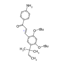 C=CC(C)(C)c1cc(/C=C/C(=O)c2ccc(N)cc2)c(OC(C)(C)C)cc1OC(C)(C)C